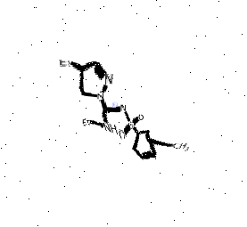 CCN/C(=N\S(=O)(=O)c1cccc(C)c1)N1CC(CC)C=N1